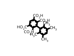 Cc1cc(C)c(C)c(-c2c(C(=O)O)c(C(=O)O)cc(C(=O)O)c2C(=O)O)c1C